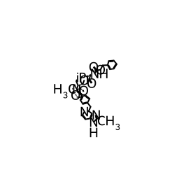 Cc1nc2c(Cc3ccc(S(=O)(=O)N(C)[C@H](COC(=O)CNC(=O)OCc4ccccc4)CC(C)C)cc3)nccc2[nH]1